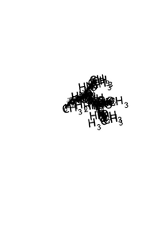 CCCCc1ccc(-c2ccc(C(=O)N[C@@H](CCCCNC(=O)OC(C)(C)C)C(=O)N3CCC[C@H]3C(=O)N[C@@H](N)C(=O)N[C@@H](CCCCNC(=O)OC(C)(C)C)C(=O)N[C@@H]3CN(CC(=O)OC)C3=O)cc2)cc1